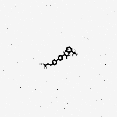 Cc1nc2c(C(F)(F)F)cccc2nc1-c1ccc(-c2ccc(CCC(=O)O)cc2)cc1